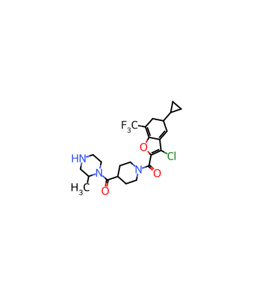 CC1CNCCN1C(=O)C1CCN(C(=O)c2oc3c(c2Cl)=CC(C2CC2)CC=3C(F)(F)F)CC1